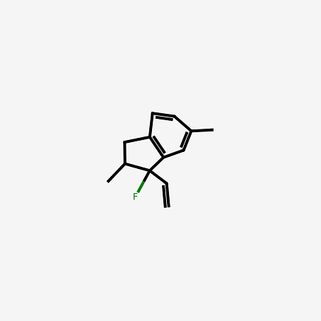 C=CC1(F)c2cc(C)ccc2CC1C